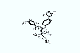 CC(=O)c1cc(C(=O)N[C@H](Cc2ccc(-c3cc(Cl)ccc3F)cc2)C[C@@](C)(CN)C(=O)O)[nH]n1